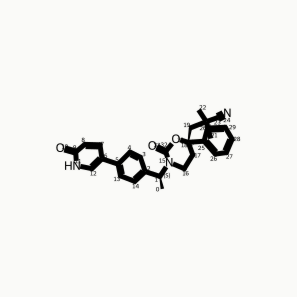 C[C@@H](c1ccc(-c2ccc(=O)[nH]c2)cc1)N1CC[C@@](CC(C)(C)C#N)(c2ccccc2)OC1=O